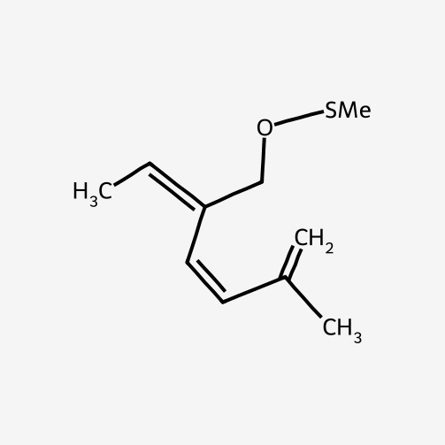 C=C(C)/C=C\C(=C/C)COSC